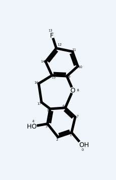 Oc1cc(O)c2c(c1)Oc1ccc(F)cc1CC2